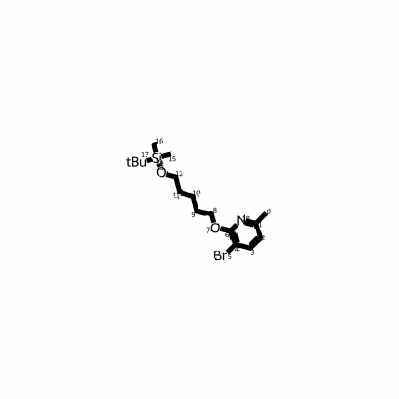 Cc1ccc(Br)c(OCCCCCO[Si](C)(C)C(C)(C)C)n1